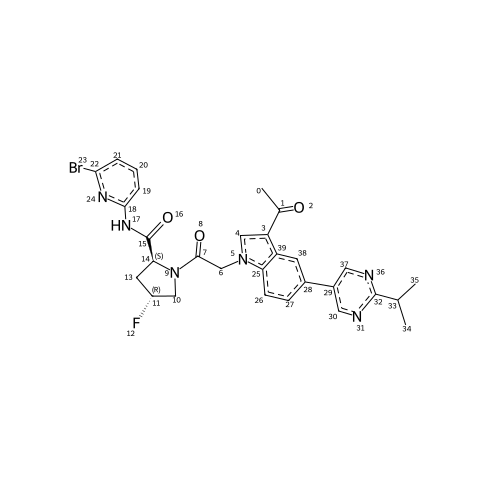 CC(=O)c1cn(CC(=O)N2C[C@H](F)C[C@H]2C(=O)Nc2cccc(Br)n2)c2ccc(-c3cnc(C(C)C)nc3)cc12